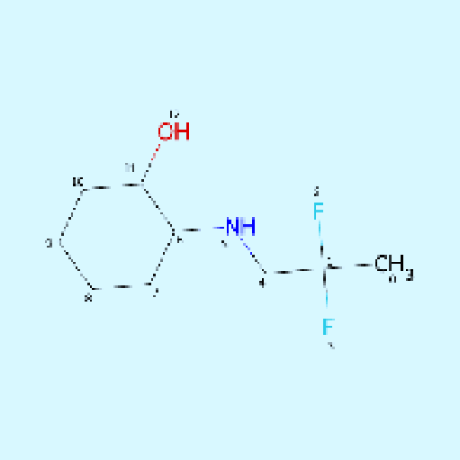 CC(F)(F)CNC1CCCCC1O